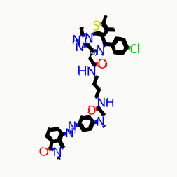 Cc1sc2c(c1C)C(c1ccc(Cl)cc1)=N[C@@H](CC(=O)NCCCCNC(=O)CN(C)c1ccc(/N=N/c3cccc4c3CN(C)C4=O)cc1)c1nnc(C)n1-2